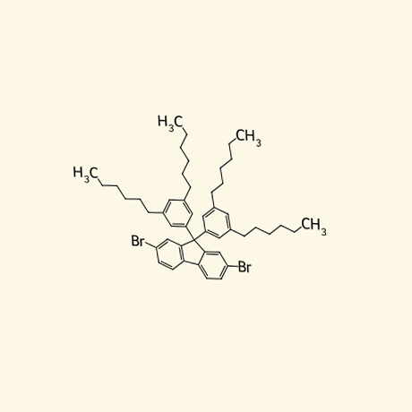 CCCCCCc1cc(CCCCCC)cc(C2(c3cc(CCCCCC)cc(CCCCCC)c3)c3cc(Br)ccc3-c3ccc(Br)cc32)c1